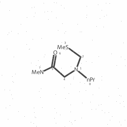 CCCN(CSC)CC(=O)NC